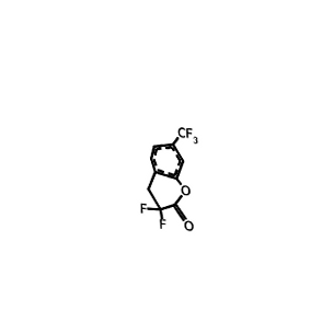 O=C1Oc2cc(C(F)(F)F)ccc2CC1(F)F